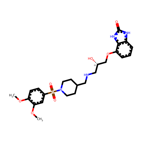 COc1ccc(S(=O)(=O)N2CCC(CNC[C@H](O)COc3cccc4[nH]c(=O)[nH]c34)CC2)cc1OC